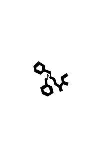 C=CC(=C)C(=C)CCN(Cc1ccccc1)Cc1ccccc1